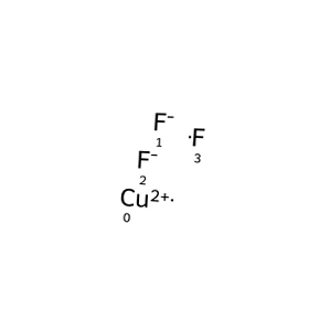 [Cu+2].[F-].[F-].[F]